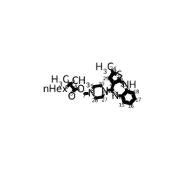 CCCCCCC(C)(C)C(=O)OCN1CCN(C2=Nc3ccccc3Nc3sc(C)cc32)CC1